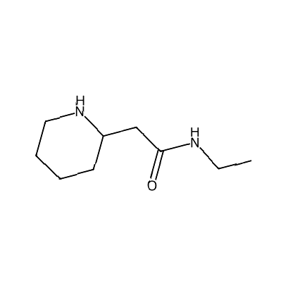 CCNC(=O)CC1CCCCN1